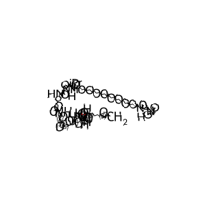 C=C1CO[C@@H](CCCC[C@H]2O[C@@H]3C4O[C@H]5CC[C@H](CC(=O)C[C@H]6CO[C@H](C[C@H](O)CNC(=O)OCc7ccc(NC(=O)CNC(=O)C(NC(=O)CCOCCOCCOCCOCCOCCOCCOCCOCCNC(=O)CCN8C(=O)C=CC8=O)C(C)C)cc7)C6)OC5[C@@H]3OO[C@H]42)C1